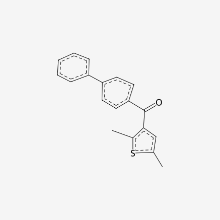 Cc1cc(C(=O)c2ccc(-c3ccccc3)cc2)c(C)s1